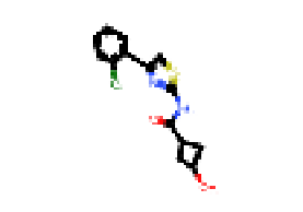 O=C(Nc1nc(-c2ccccc2Cl)cs1)C1CC(O)C1